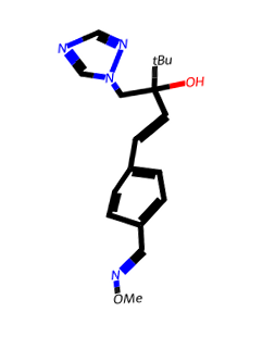 CON=Cc1ccc(C=CC(O)(Cn2cncn2)C(C)(C)C)cc1